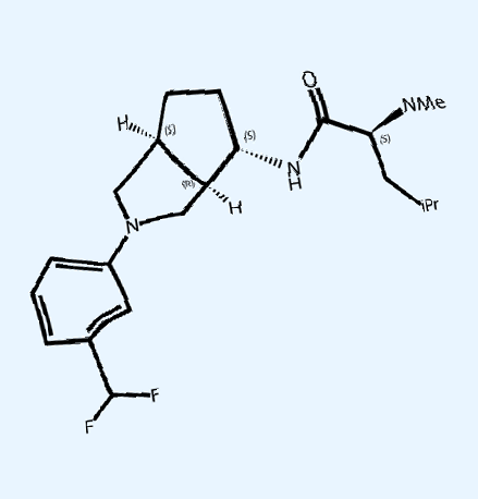 CN[C@@H](CC(C)C)C(=O)N[C@H]1CC[C@@H]2CN(c3cccc(C(F)F)c3)C[C@@H]21